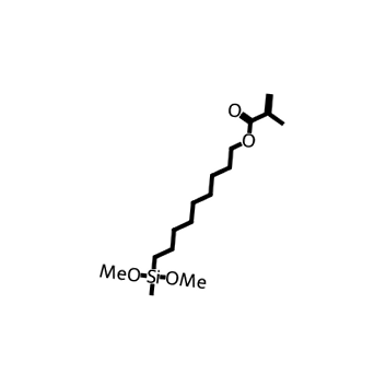 C=C(C)C(=O)OCCCCCCCCC[Si](C)(OC)OC